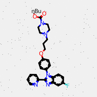 CCCCOC(=O)N1CCN(CCCOc2ccc(-n3c(-c4ccccn4)nc4cc(F)ccc43)cc2)CC1